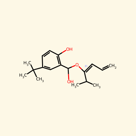 C=C/C=C(/OC(O)c1cc(C(C)(C)C)ccc1O)C(C)C